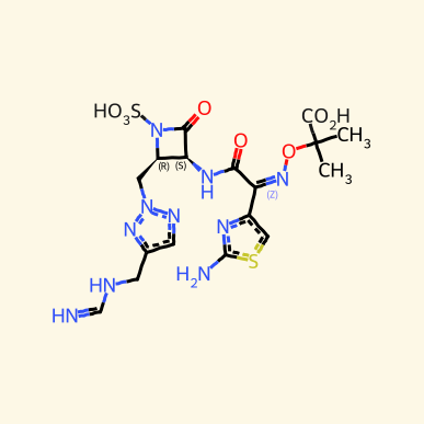 CC(C)(O/N=C(\C(=O)N[C@@H]1C(=O)N(S(=O)(=O)O)[C@@H]1Cn1ncc(CNC=N)n1)c1csc(N)n1)C(=O)O